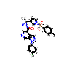 CC[C@H](NC(=O)c1cncc2c1cnn2-c1ccc(F)cc1)c1ccn(S(=O)(=O)c2ccc(C)cc2)c1